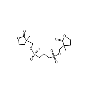 CC1(COS(=O)(=O)CCCS(=O)(=O)OCC2(C)CCOC2=O)CCOC1=O